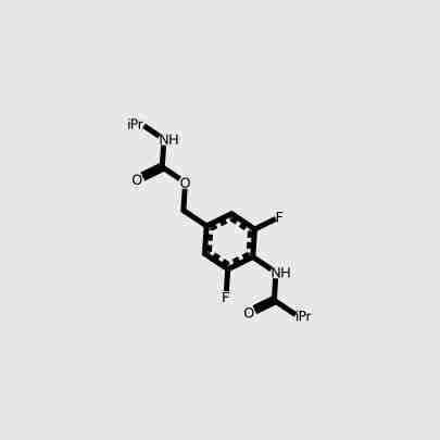 CC(C)NC(=O)OCc1cc(F)c(NC(=O)C(C)C)c(F)c1